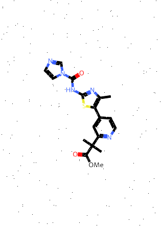 COC(=O)C(C)(C)c1cc(-c2sc(NC(=O)n3ccnc3)nc2C)ccn1